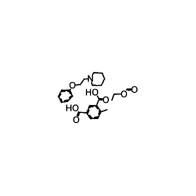 CCOC=O.Cc1ccc(C(=O)O)cc1C(=O)O.c1ccc(OCCN2CCCCC2)cc1